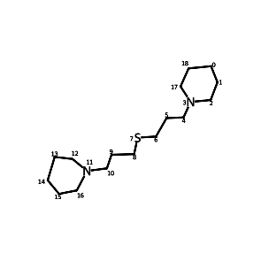 C1CCN(CCCSCCCN2CCCCC2)CC1